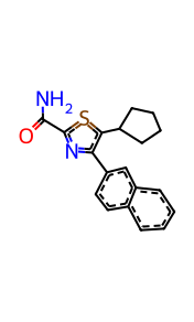 NC(=O)c1nc(-c2ccc3ccccc3c2)c(C2CCCC2)s1